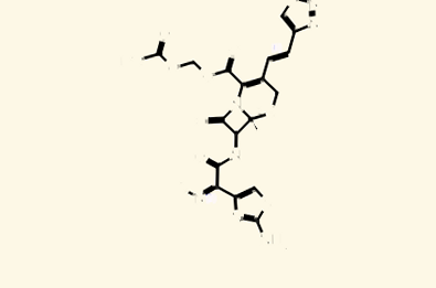 CC(C)(C)C(=O)OCOC(=O)C1=C(/C=C/c2csnn2)CS[C@@H]2C(NC(=O)/C(=N\O)c3csc(N)n3)C(=O)N12